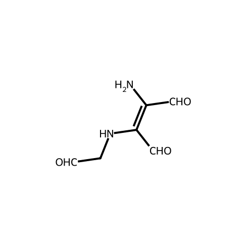 N/C(C=O)=C(/C=O)NCC=O